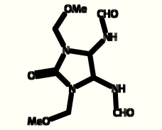 COCN1C(=O)N(COC)C(NC=O)C1NC=O